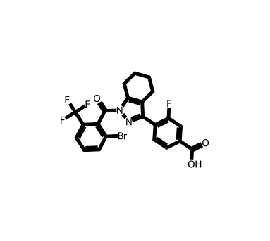 O=C(O)c1ccc(-c2nn(C(=O)c3c(Br)cccc3C(F)(F)F)c3c2CCCC3)c(F)c1